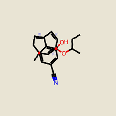 CCC(C)OC1=C/C(C)C/C=C(c2ccc(C#N)cc2O)/C=C\1